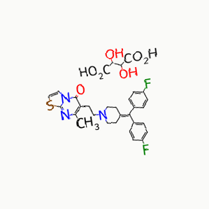 Cc1nc2sccn2c(=O)c1CCN1CCC(=C(c2ccc(F)cc2)c2ccc(F)cc2)CC1.O=C(O)C(O)C(O)C(=O)O